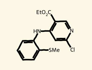 CCOC(=O)c1cnc(Cl)cc1Nc1ccccc1SC